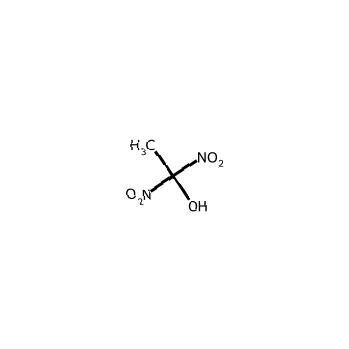 CC(O)([N+](=O)[O-])[N+](=O)[O-]